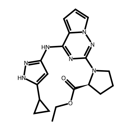 CCOC(=O)[C@@H]1CCCN1c1nc(Nc2cc(C3CC3)[nH]n2)c2cccn2n1